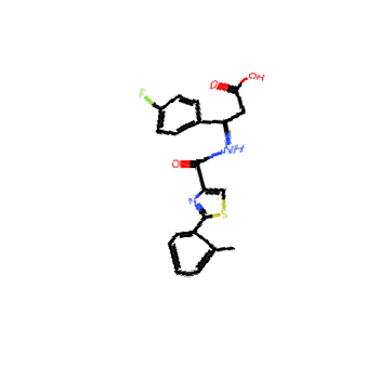 Cc1ccccc1-c1nc(C(=O)NC(CC(=O)O)c2ccc(F)cc2)cs1